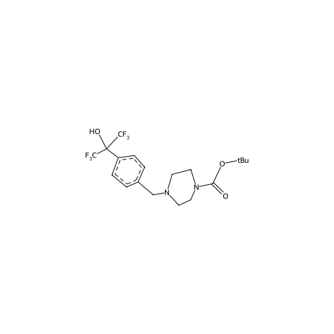 CC(C)(C)OC(=O)N1CCN(Cc2ccc(C(O)(C(F)(F)F)C(F)(F)F)cc2)CC1